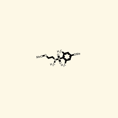 COOCCN(C)S(=O)(=O)c1c(C)cc(OC)cc1C